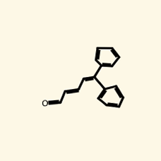 O=CC=CC=C(c1ccccc1)c1ccccc1